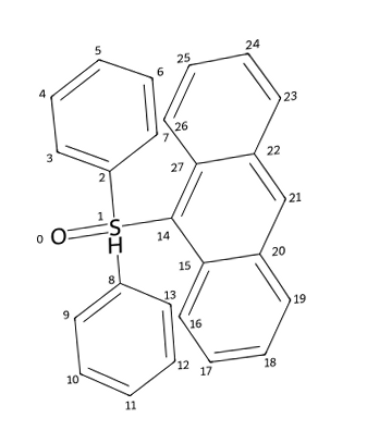 O=[SH](c1ccccc1)(c1ccccc1)c1c2ccccc2cc2ccccc12